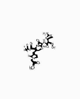 Nc1nc(/C(=N/O)C(=O)N[C@@H]2C(=O)N3C(C(=O)OC(=O)C(F)(F)F)=C(C=C4CCN(CC(=O)O)C4=O)CS[C@H]23)cs1